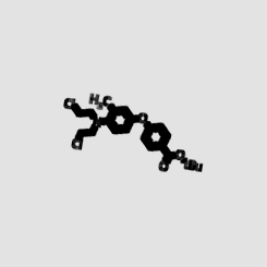 Cc1cc(Oc2ccc(C(=O)OC(C)(C)C)cc2)ccc1N(CCCl)CCCl